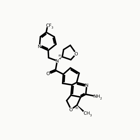 C[C@H]1OCc2c1c(N)nc1ccc(C(=O)N(Cc3ccc(C(F)(F)F)cn3)[C@@H]3CCOC3)cc21